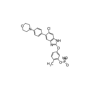 Cc1ccc(Oc2nc3cc(-c4ccc(N5CCOCC5)cc4)c(Cl)cc3[nH]2)cc1O[PH](=O)O